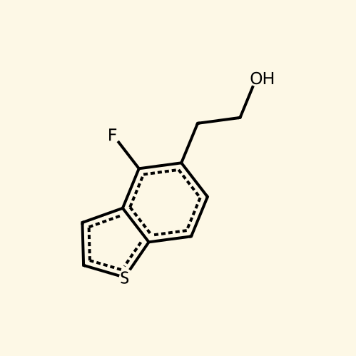 OCCc1ccc2sccc2c1F